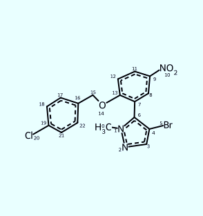 Cn1ncc(Br)c1-c1cc([N+](=O)[O-])ccc1OCc1ccc(Cl)cc1